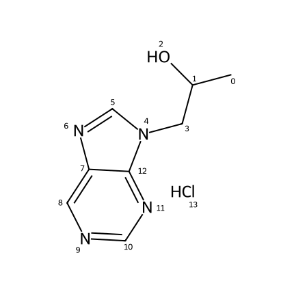 CC(O)Cn1cnc2cncnc21.Cl